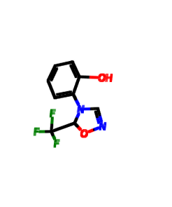 Oc1ccccc1N1C=NOC1C(F)(F)F